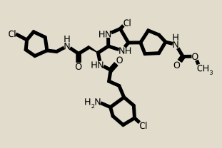 COC(=O)NC1CCC(C2NC([C@H](CC(=O)NCC3CCC(Cl)CC3)NC(=O)CCC3CC(Cl)CCC3N)NC2Cl)CC1